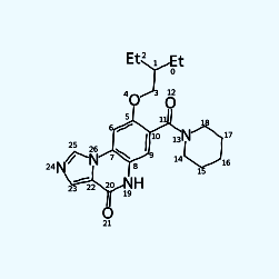 CCC(CC)COc1cc2c(cc1C(=O)N1CCCCC1)[nH]c(=O)c1cncn12